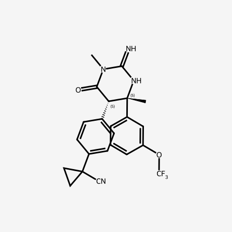 CN1C(=N)N[C@](C)(c2cccc(OC(F)(F)F)c2)[C@H](c2ccc(C3(C#N)CC3)cc2)C1=O